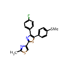 CSc1ccc(-c2sc(-c3csc(C)n3)nc2-c2ccc(F)cc2)cc1